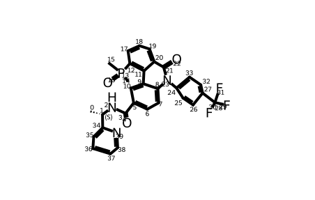 C[C@H](NC(=O)c1ccc2c(c1)c1c(P(C)(C)=O)cccc1c(=O)n2-c1ccc(C(F)(F)F)cc1)c1ccccn1